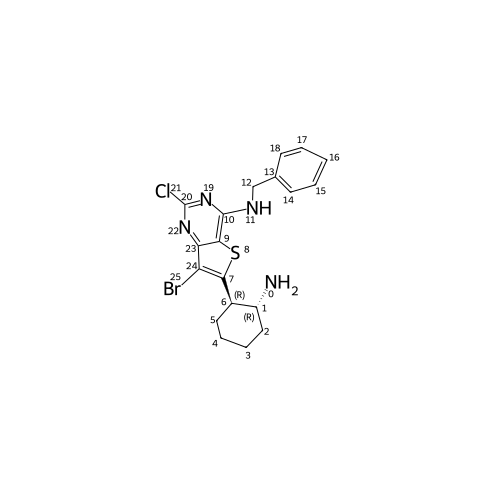 N[C@@H]1CCCC[C@H]1c1sc2c(NCc3ccccc3)nc(Cl)nc2c1Br